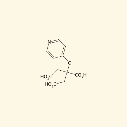 O=C(O)CC(CC(=O)O)(Oc1ccncc1)C(=O)O